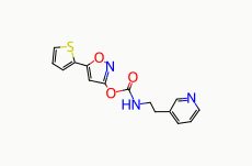 O=C(NCCc1cccnc1)Oc1cc(-c2cccs2)on1